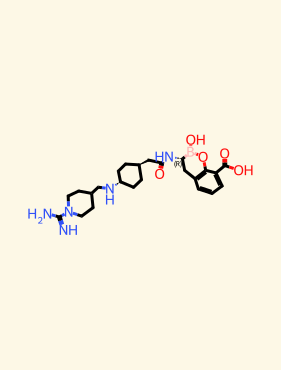 N=C(N)N1CCC(CN[C@H]2CC[C@H](CC(=O)N[C@H]3Cc4cccc(C(=O)O)c4OB3O)CC2)CC1